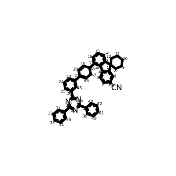 N#Cc1ccc2c(c1)C1(CCCCC1)c1cccc(C3C=CC(c4cccc(-c5nc(-c6ccccc6)nc(-c6ccccc6)n5)c4)=CC3)c1-2